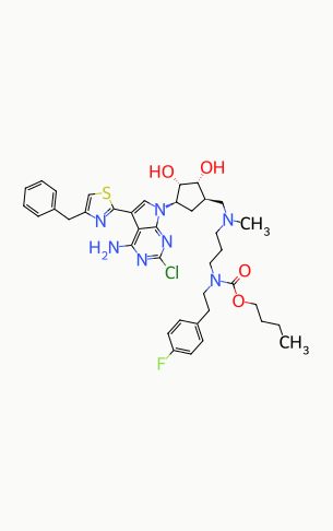 CCCCOC(=O)N(CCCN(C)C[C@H]1C[C@@H](n2cc(-c3nc(Cc4ccccc4)cs3)c3c(N)nc(Cl)nc32)[C@H](O)[C@@H]1O)CCc1ccc(F)cc1